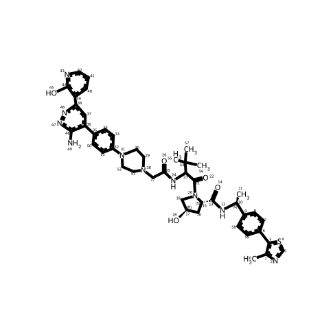 Cc1ncsc1-c1ccc([C@H](C)NC(=O)[C@@H]2C[C@@H](O)CN2C(=O)C(NC(=O)CN2CCN(c3ccc(-c4cc(-c5cccnc5O)nnc4N)cc3)CC2)C(C)(C)C)cc1